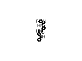 Cc1ccc(C(=O)Nc2cccc(Nc3ccccc3)c2)cc1Nc1ccnc2ccc(F)cc12